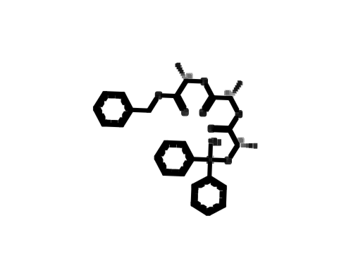 C[C@H](OC(=O)[C@H](C)OC(=O)[C@H](C)O[Si](c1ccccc1)(c1ccccc1)C(C)(C)C)C(=O)OCc1ccccc1